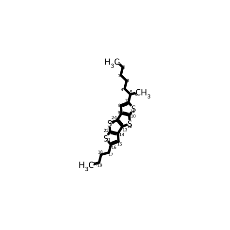 CCCCCC(C)c1cc2c(s1)sc1c3cc(CCCC)sc3sc21